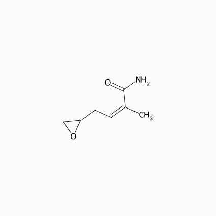 CC(=CCC1CO1)C(N)=O